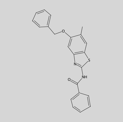 Cc1cc2sc(NC(=O)c3ccccc3)nc2cc1OCc1ccccc1